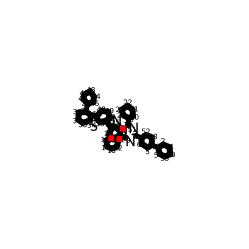 c1ccc(-c2ccc(-c3nc(-c4ccccc4)nc(-c4ccccc4-n4c5ccccc5c5c6sc7cccc(-c8ccccc8)c7c6ccc54)n3)cc2)cc1